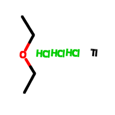 CCOCC.Cl.Cl.Cl.[Ti]